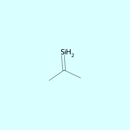 CC(C)=[SiH2]